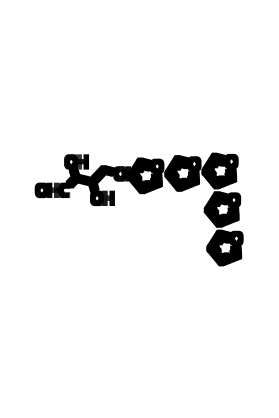 O=CC(O)C(O)CO.c1ccoc1.c1ccoc1.c1ccoc1.c1ccoc1.c1ccoc1